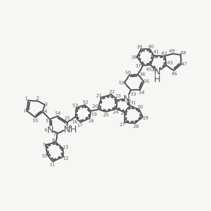 C1=CCCC(C2=NC(c3ccccc3)NC(c3ccc(-c4ccc5c(c4)c4ccccc4n5C4C=CC(c5cccc6c7c([nH]c56)C=CCC7)=CC4)cc3)=C2)=C1